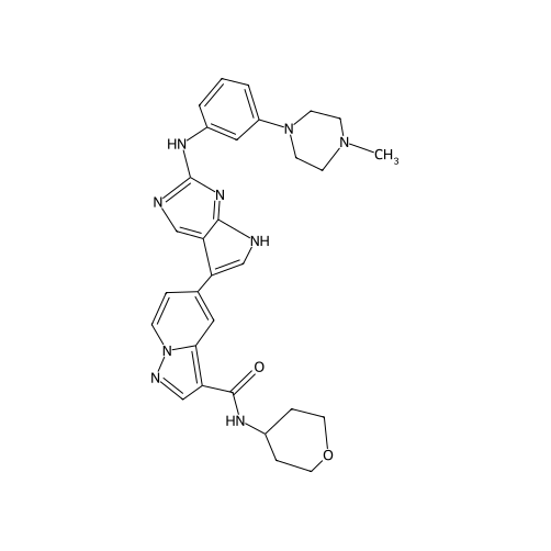 CN1CCN(c2cccc(Nc3ncc4c(-c5ccn6ncc(C(=O)NC7CCOCC7)c6c5)c[nH]c4n3)c2)CC1